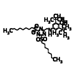 CCCCCCCCS(=O)(=O)c1nc(CNc2cc(C(C)(C)C)c(O)c(C(C)(C)C)c2)nc(S(=O)(=O)CCCCCCCC)n1